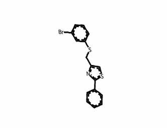 Brc1cccc(SCc2csc(-c3ccccc3)n2)c1